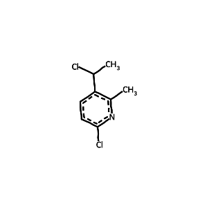 Cc1nc(Cl)ccc1C(C)Cl